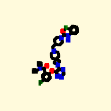 CCN(C(=O)c1cc(F)ccc1Oc1nncnc1N1CC2(CCN(CC3CCN(C(=O)Nc4ccccc4F)CC3)CC2)C1)C(C)C